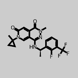 C[C@@H](Nc1nn(C)c(=O)c2cc(=O)n(C3(C)CC3)cc12)c1cccc(C(F)(F)F)c1F